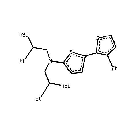 CCCCC(CC)CN(CC(CC)CCCC)c1ccc(-c2sccc2CC)s1